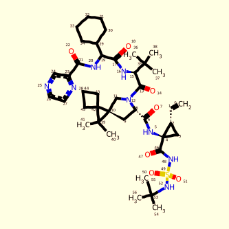 C=C[C@@H]1C[C@]1(NC(=O)[C@@H]1C[C@@]2(CN1C(=O)[C@@H](NC(=O)C(NC(=O)c1cnccn1)C1CCCCC1)C(C)(C)C)C(C)(C)C21CCC1)C(=O)NS(=O)(=O)NC(C)(C)C